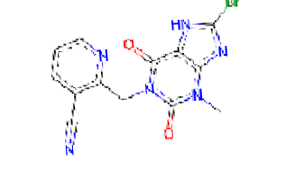 Cn1c(=O)n(Cc2ncccc2C#N)c(=O)c2[nH]c(Br)nc21